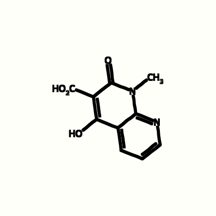 Cn1c(=O)c(C(=O)O)c(O)c2cccnc21